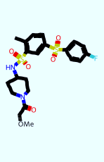 COCC(=O)N1CCC(NS(=O)(=O)c2cc(S(=O)(=O)c3ccc(F)cc3)ccc2C)CC1